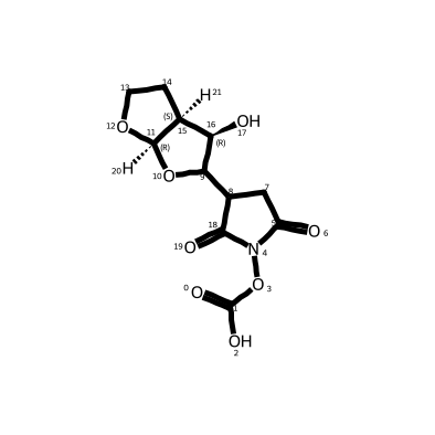 O=C(O)ON1C(=O)CC(C2O[C@H]3OCC[C@H]3[C@H]2O)C1=O